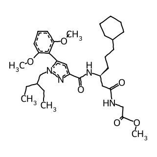 CCC(CC)Cn1nc(C(=O)N[C@@H](CCCC2CCCCC2)CC(=O)NCC(=O)OC)cc1-c1c(OC)cccc1OC